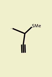 C#CC([CH2])SC